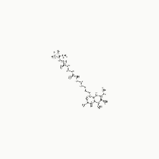 CC(=O)NC1C(OCCCCCCNC(=O)CCCC(=O)NCC(C)(C)C)OC(CO)C(O)C1O